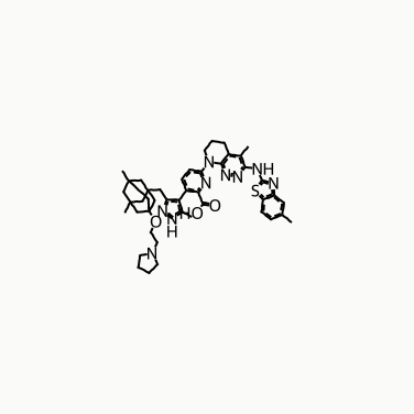 Cc1ccc2sc(Nc3nnc4c(c3C)CCCN4c3ccc(-c4c(CC56CC7(C)CC(C)(C5)CC(OCCN5CCCC5)(C7)C6)n[nH]c4C)c(C(=O)O)n3)nc2c1